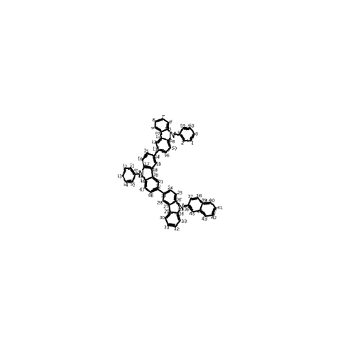 c1ccc(-n2c3ccccc3c3cc(-c4ccc5c(c4)c4cc(-c6ccc7c(c6)c6ccccc6n7-c6ccc7ccccc7c6)ccc4n5-c4ccccc4)ccc32)cc1